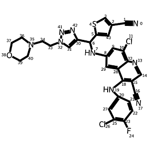 N#Cc1csc(C(Nc2cc(Cl)c3ncc(C#N)c(Nc4ccc(F)c(Cl)c4)c3c2)c2cn(CCN3CCOCC3)nn2)c1